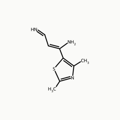 Cc1nc(C)c(/C(N)=C/C=N)s1